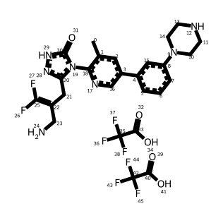 Cc1cc(-c2cccc(N3CCNCC3)c2)cnc1-n1c(CC(CN)=C(F)F)n[nH]c1=O.O=C(O)C(F)(F)F.O=C(O)C(F)(F)F